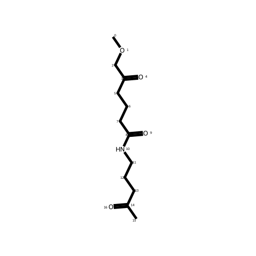 COCC(=O)CCCC(=O)NCCCC(C)=O